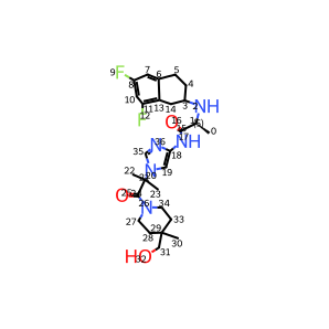 C[C@H](NC1CCc2cc(F)cc(F)c2C1)C(=O)Nc1cn(C(C)(C)C(=O)N2CCC(C)(CO)CC2)cn1